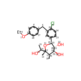 CCOc1ccc(Cc2cc([C@@H]3O[C@@](C)(C(C)O)[C@H](C)[C@H](O)[C@H]3O)ccc2Cl)cc1